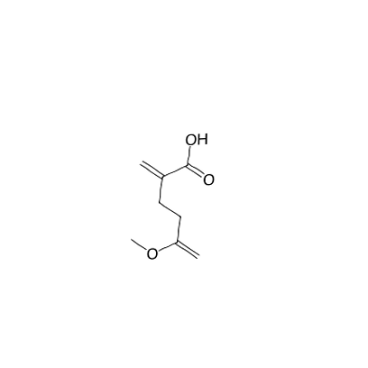 C=C(CCC(=C)C(=O)O)OC